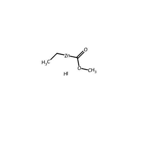 C[CH2][Zn][C](=O)OC.I